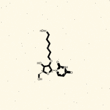 CCCCCCCCCCCCCCCCOC1C(O)[C@@H](CO)O[C@H]1n1ccc(=O)[nH]c1=O